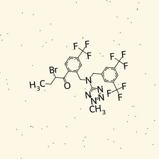 CCC(Br)C(=O)c1ccc(C(F)(F)F)cc1CN(Cc1cc(C(F)(F)F)cc(C(F)(F)F)c1)c1nnn(C)n1